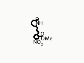 COC(=O)c1cc([N+](=O)[O-])ccc1C=CCC1CCCCC(=O)N1